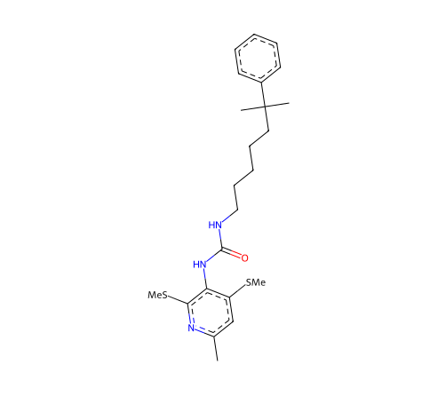 CSc1cc(C)nc(SC)c1NC(=O)NCCCCCC(C)(C)c1ccccc1